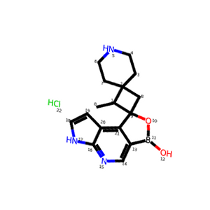 CC1C2(CCNCC2)CC12OB(O)c1cnc3[nH]ccc3c12.Cl